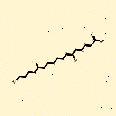 CCCCCC(O)CCCCCC=C(O)C=CC=CC(=O)O